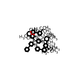 C[C@H](c1ccc2c(c1)C1(C)CC(C)(C)C(C)(C)CC1(C)N2c1cc2c3c(c1)N(c1ccc(C(C)(C)C)cc1-c1ccccc1)c1cc4c(cc1B3c1ccc(-c3ccccc3)cc1N2c1cccc(-c2ccccc2)c1)C(C)(C)CCC4(C)C)S(C)(C)C